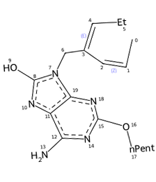 C/C=C\C(=C/CC)Cn1c(O)nc2c(N)nc(OCCCCC)nc21